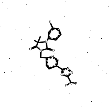 CC1(C)C(=O)N(Cc2ccc(-c3nnc(C(F)F)o3)cn2)C(=O)N1c1cccc(F)c1